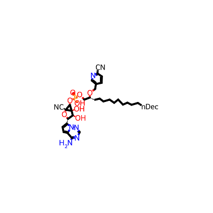 CCCCCCCCCCCCCCCCCCCC[C@H](COP(=O)(O)OC1[C@@]2(C#N)O[C@@H](c3ccc4c(N)ncnn34)[C@H](O)[C@@]12O)OCc1ccc(C#N)nc1